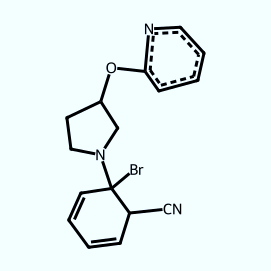 N#CC1C=CC=CC1(Br)N1CCC(Oc2ccccn2)C1